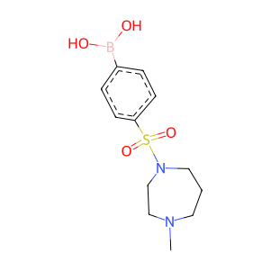 CN1CCCN(S(=O)(=O)c2ccc(B(O)O)cc2)CC1